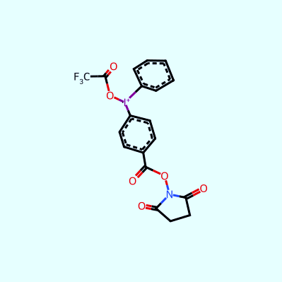 O=C(ON1C(=O)CCC1=O)c1ccc([I+](OC(=O)C(F)(F)F)c2ccccc2)cc1